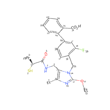 CCC[C@H](S)C(=O)NCc1c(CC)nc(OCC)n1Cc1ccc(-c2ccccc2C(=O)O)cc1F